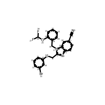 N#Cc1ccc2nc(CSc3cccc(Br)c3)n(Cc3ccccc3OC(F)F)c2c1